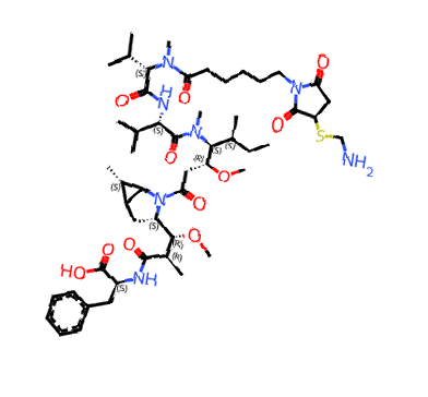 CC[C@H](C)[C@@H]([C@@H](CC(=O)N1C2C(C[C@H]1[C@H](OC)[C@@H](C)C(=O)N[C@@H](Cc1ccccc1)C(=O)O)[C@@H]2C)OC)N(C)C(=O)[C@@H](NC(=O)[C@H](C(C)C)N(C)C(=O)CCCCCN1C(=O)CC(SCN)C1=O)C(C)C